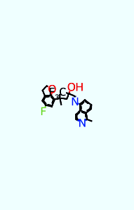 Cc1nccc2c(N=CC(O)(CC(C)(C)c3cc(F)cc4c3OCC4)C(F)(F)F)cccc12